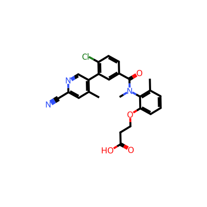 Cc1cc(C#N)ncc1-c1cc(C(=O)N(C)c2c(C)cccc2OCCC(=O)O)ccc1Cl